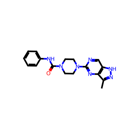 Cc1n[nH]c2cnc(N3CCN(C(=O)Nc4ccccc4)CC3)nc12